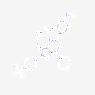 CS(=O)(=O)N1CCN(c2nc3c(N4CCOCC4)nc(-c4cnc(N)nc4C(F)(F)F)nc3n2CC2CC2)CC1